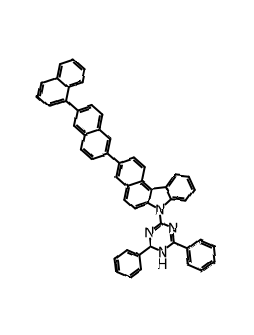 c1ccc(C2=NC(n3c4ccccc4c4c5ccc(-c6ccc7cc(-c8cccc9ccccc89)ccc7c6)cc5ccc43)=NC(c3ccccc3)N2)cc1